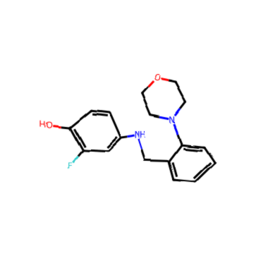 Oc1ccc(NCc2ccccc2N2CCOCC2)cc1F